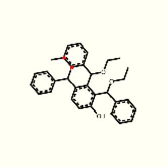 CCOC(c1ccccc1)c1ccc(O)c(C(OCC)c2ccccc2)c1C(OCC)c1ccccc1